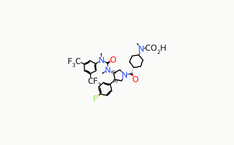 CN(C(=O)N(C)[C@@H]1CN(C(=O)[C@H]2CC[C@H](N(C)C(=O)O)CC2)C[C@H]1c1ccc(F)cc1)c1cc(C(F)(F)F)cc(C(F)(F)F)c1